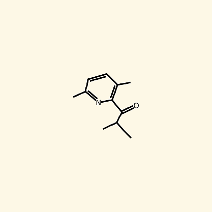 Cc1ccc(C)c(C(=O)C(C)C)n1